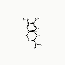 CN(C)C1CCc2cc(O)c(O)cc2C1